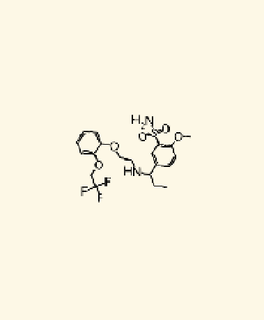 CCC(NCCOc1ccccc1OCC(F)(F)F)c1ccc(OC)c(S(N)(=O)=O)c1